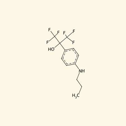 CCCNc1ccc(C(O)(C(F)(F)F)C(F)(F)F)cc1